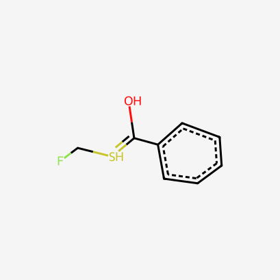 OC(=[SH]CF)c1ccccc1